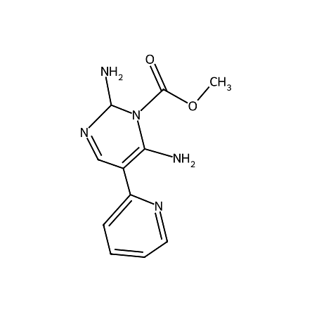 COC(=O)N1C(N)=C(c2ccccn2)C=NC1N